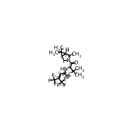 C[C@@H]1[C@@H]2C(CN1C(=O)[C@@H](NC(=O)C=C(C(F)(F)F)C(F)(F)F)C(C)(C)C)C2(C)C